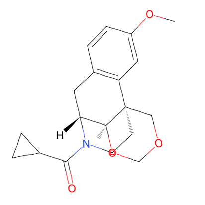 COc1ccc2c(c1)[C@]13CCN(C(=O)C4CC4)[C@H](C2)[C@]1(C)OCOC3